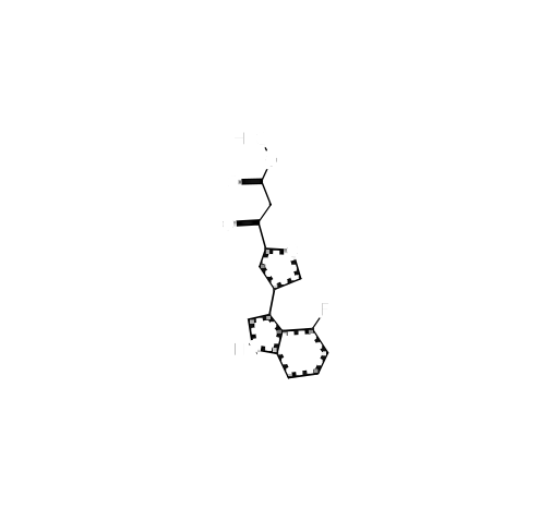 COC(=O)CC(=O)c1cc(-c2c[nH]c3cccc(F)c23)co1